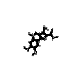 COC(=O)c1sc2c(c[n+](C)c3cc(OC)c(OC)cc23)c1N